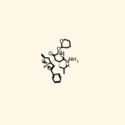 C=CCC(/C=C/c1ccccc1)([C@H](C(=O)NOC1CCCCO1)[C@@H](CC(C)C)C(=O)NN)S(C)(=O)=O